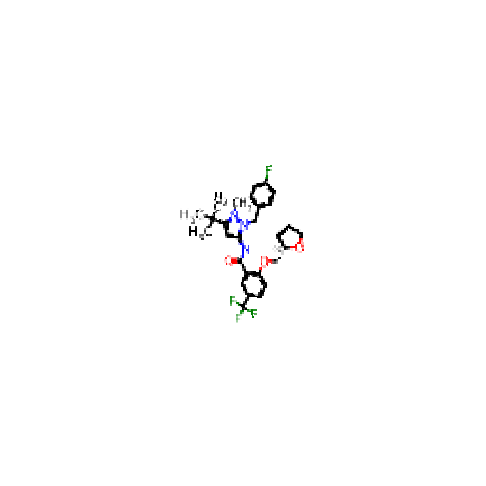 Cn1c(C(C)(C)C)cc(=NC(=O)c2cc(C(F)(F)F)ccc2OC[C@@H]2CCCO2)n1Cc1ccc(F)cc1